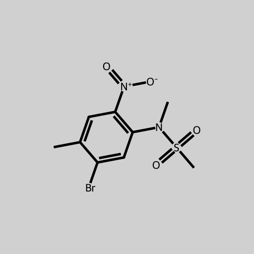 Cc1cc([N+](=O)[O-])c(N(C)S(C)(=O)=O)cc1Br